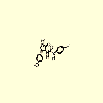 COc1ccc([C@@H]2CNC(=O)C2NC(=O)Nc2ccc(F)cc2)cc1